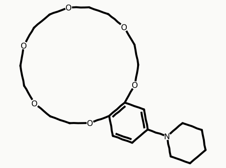 c1cc2c(cc1N1CCCCC1)OCCOCCOCCOCCOCCO2